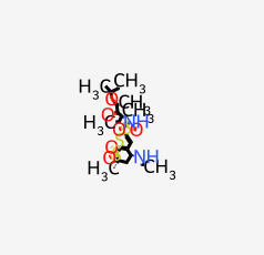 CCN[C@H]1C[C@H](C)S(=O)(=O)c2sc(S(=O)(=O)NC(C)(CC)C(=O)C(C)OC(C)CC)cc21